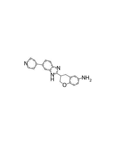 Nc1ccc2c(c1)CC(c1nc3ccc(-c4ccncc4)cc3[nH]1)CO2